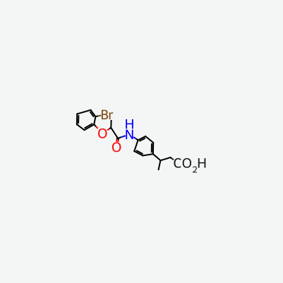 CC(Oc1ccccc1Br)C(=O)Nc1ccc(C(C)CC(=O)O)cc1